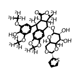 [2H]C([2H])([2H])Oc1cc([C@]2([2H])c3cc4c(cc3[C@@H](O[C@@H]3O[C@@H]5CO[C@@H](c6cccs6)O[C@H]5[C@H](O)[C@H]3O)[C@@H]3[C@@H]2C(=O)OC3([2H])[2H])OC([2H])([2H])O4)cc(OC([2H])([2H])[2H])c1O